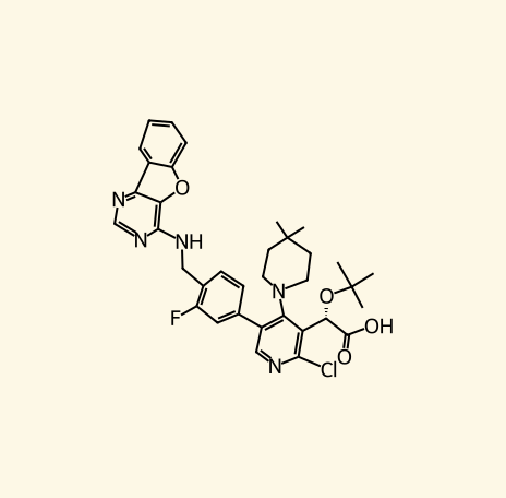 CC1(C)CCN(c2c(-c3ccc(CNc4ncnc5c4oc4ccccc45)c(F)c3)cnc(Cl)c2[C@H](OC(C)(C)C)C(=O)O)CC1